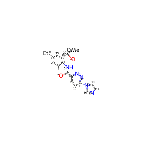 CCc1ccc(NC(=O)c2ccc(-n3ccnc3)nn2)c(C(=O)OC)c1